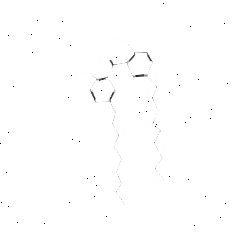 CCCCCCCCCc1ccc(O)c(C(=O)c2cc(CCCCCCCCC)ccc2O)c1